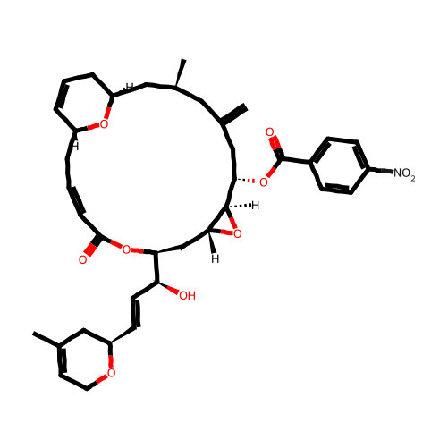 C=C1C[C@H](C)C[C@@H]2CC=C[C@@H](C/C=C\C(=O)O[C@H]([C@@H](O)/C=C/[C@@H]3CC(C)=CCO3)C[C@H]3O[C@@H]3[C@@H](OC(=O)c3ccc([N+](=O)[O-])cc3)C1)O2